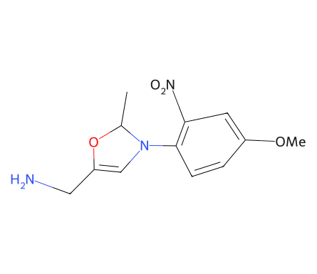 COc1ccc(N2C=C(CN)OC2C)c([N+](=O)[O-])c1